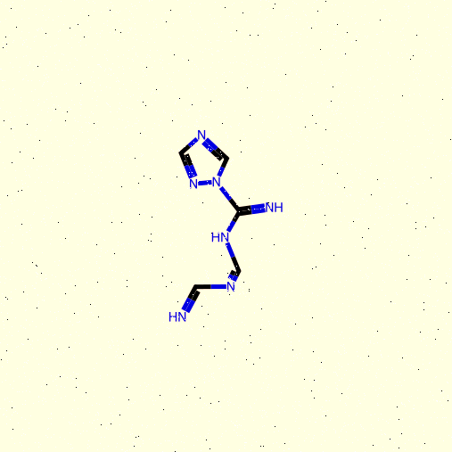 N=C/N=C\NC(=N)n1cncn1